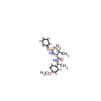 COc1ccc(C(C)NC(=O)C(NC(=O)Oc2ccccc2)C(C)C)cc1